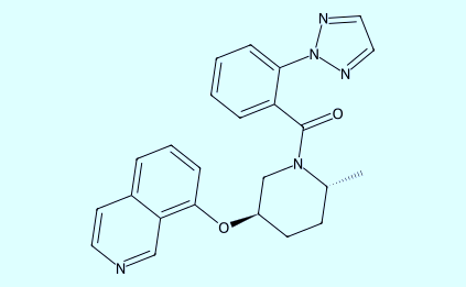 C[C@@H]1CC[C@@H](Oc2cccc3ccncc23)CN1C(=O)c1ccccc1-n1nccn1